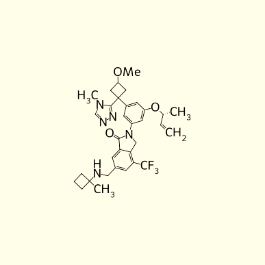 C=C[C@@H](C)Oc1cc(N2Cc3c(cc(CNC4(C)CCC4)cc3C(F)(F)F)C2=O)cc(C2(c3nncn3C)CC(OC)C2)c1